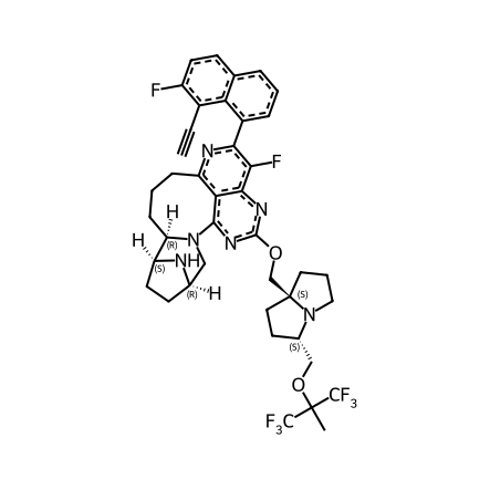 C#Cc1c(F)ccc2cccc(-c3nc4c5c(nc(OC[C@@]67CCCN6[C@H](COC(C)(C(F)(F)F)C(F)(F)F)CC7)nc5c3F)N3C[C@H]5CC[C@H](N5)[C@H]3CCC4)c12